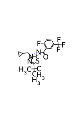 CC(C)(C)c1nn(CC2CC2)/c(=N/C(=O)c2cc(C(F)(F)F)ccc2F)s1